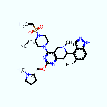 C=CS(=O)(=O)N1CCN(c2nc(OC[C@@H]3CCCN3C)nc3c2CN(C)C(c2c(C)ccc4[nH]ncc24)C3)C[C@@H]1CC#N